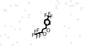 O=C(CC(=O)C(F)(F)C(F)(F)F)c1ccc(C(F)(F)F)cc1